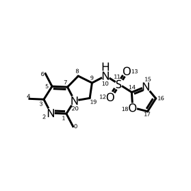 CC1=NC(C)C(C)=C2CC(NS(=O)(=O)c3ncco3)CN12